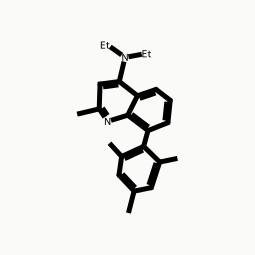 CCN(CC)c1cc(C)nc2c(-c3c(C)cc(C)cc3C)cccc12